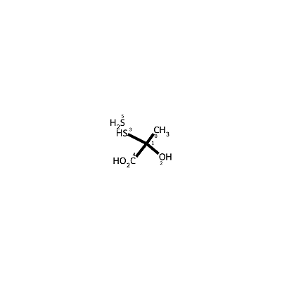 CC(O)(S)C(=O)O.S